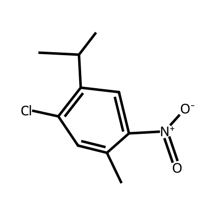 Cc1cc(Cl)c(C(C)C)cc1[N+](=O)[O-]